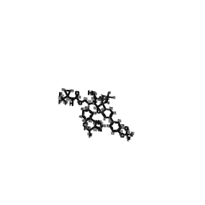 CC(C)(C)C[C@]1(C2C=CC(c3ccc4c(c3)OC(F)(F)O4)=CC2)NC(=N)N([C@H](COC(=O)NC2(C(F)(F)F)CC2)c2ccc(Cl)c(-n3ncnc3C(F)F)c2)C1=O